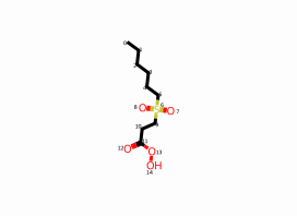 CCCCCCS(=O)(=O)CCC(=O)OO